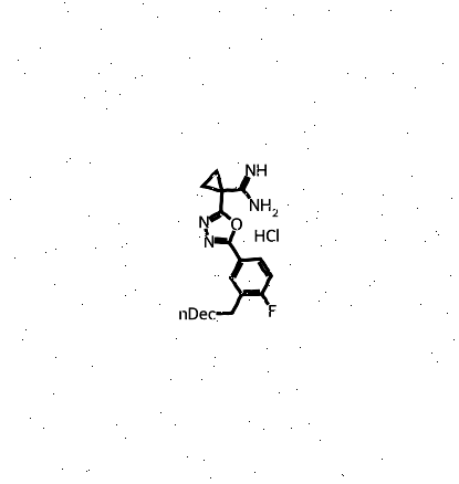 CCCCCCCCCCCc1cc(-c2nnc(C3(C(=N)N)CC3)o2)ccc1F.Cl